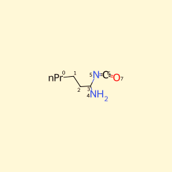 CCCCCC(N)N=C=O